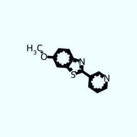 COc1ccc2nc(-c3cccnc3)sc2c1